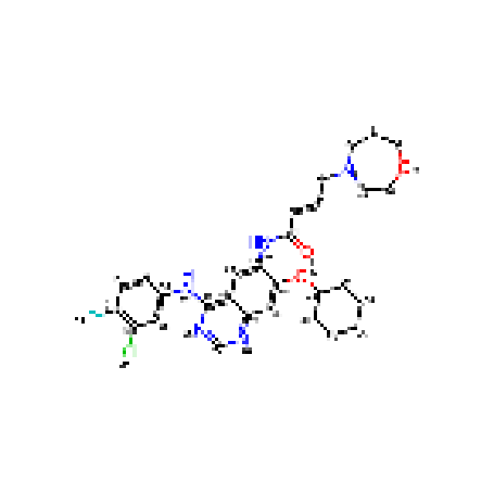 O=C(/C=C/CN1CCCOCC1)Nc1cc2c(Nc3ccc(F)c(Cl)c3)ncnc2cc1OC1CCCCC1